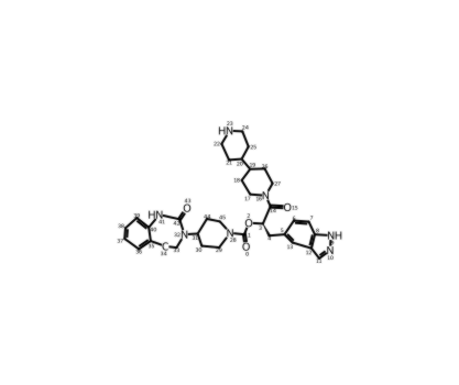 O=C(O[C@H](Cc1ccc2[nH]ncc2c1)C(=O)N1CCC(C2CCNCC2)CC1)N1CCC(N2CCc3ccccc3NC2=O)CC1